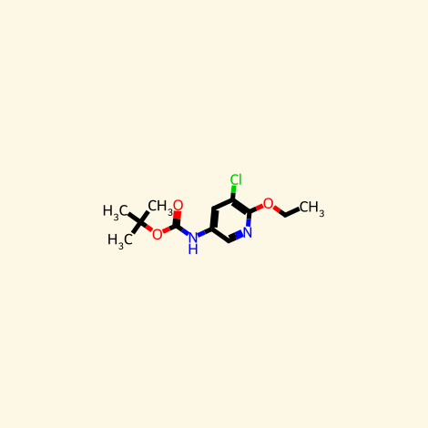 CCOc1ncc(NC(=O)OC(C)(C)C)cc1Cl